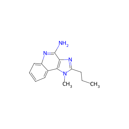 CCCc1nc2c(N)nc3ccccc3c2n1C